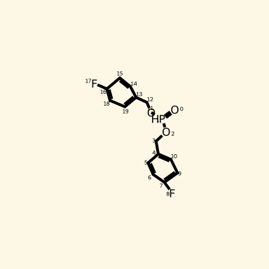 O=[PH](OCc1ccc(F)cc1)OCc1ccc(F)cc1